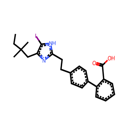 CCC(C)(C)Cc1nc(CCc2ccc(-c3ccccc3C(=O)O)cc2)[nH]c1I